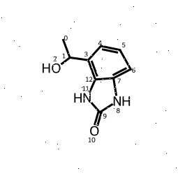 CC(O)c1cccc2[nH]c(=O)[nH]c12